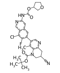 Cc1c(-c2cc3cc(NC(=O)OC4CCOC4)ncc3c(Cl)c2F)cnc2c1N(C(=O)OC(C)(C)C)CC(C#N)C2